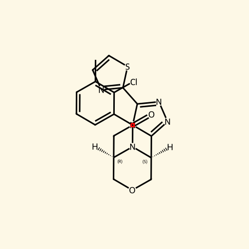 Cc1cccc(C(=O)N2[C@H]3COC[C@@H]2c2nnc(-c4nccs4)n2C3)c1Cl